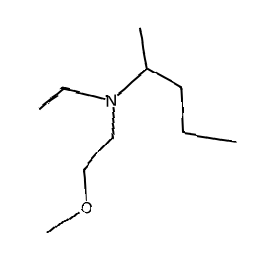 CCCC(C)N(CC)CCOC